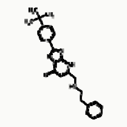 CC(C)(C)c1ccc(-c2nc3[nH]c(CNCCc4ccccc4)cc(=O)n3n2)cc1